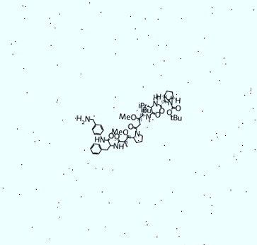 CC[C@H](C)[C@@H]([C@@H](CC(=O)N1CCCC1[C@H](OC)[C@@H](C)C(=O)NC(Cc1ccccc1)C(=O)Nc1ccc(CN)cc1)OC)N(C)C(=O)C(NC(=O)[C@@H]1[C@H]2CC[C@H](C2)N1C(=O)OC(C)(C)C)C(C)C